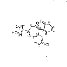 O=[N+]([O-])C(=NO)C1=Nc2ccc(Cl)cc2C(c2ccccc2F)=[N+]([O-])C1